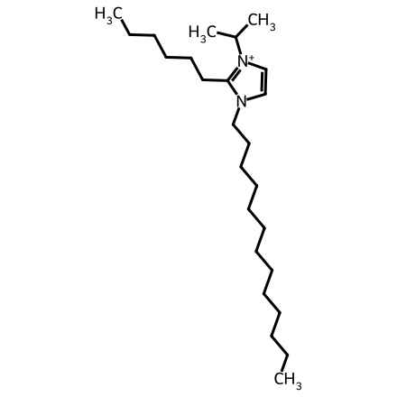 CCCCCCCCCCCCCn1cc[n+](C(C)C)c1CCCCCC